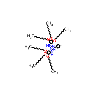 CCCCCCCCCCOc1cc(Nc2nc(Nc3cc(OCCCCCCCCCC)c(OCCCCCCCCCC)c(OCCCCCCCCCC)c3)nc(-c3cc[c]cc3)n2)cc(OCCCCCCCCCC)c1OCCCCCCCCCC